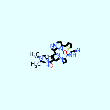 CCN(CC)[C@@H](C)CNC(=O)c1cc(-c2cnn3ccc(-c4cccs4)nc23)nc(N2CC[C@H]2C(=O)NCC#N)c1